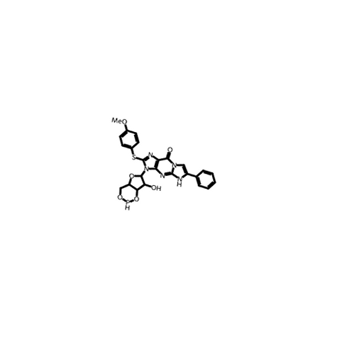 COc1ccc(Sc2nc3c(=O)n4cc(-c5ccccc5)[nH]c4nc3n2C2OC3COPOC3C2O)cc1